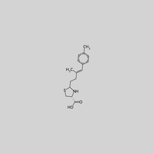 C/C(=C\c1ccc(C)cc1)CCC1N[C@H](C(=O)O)CS1